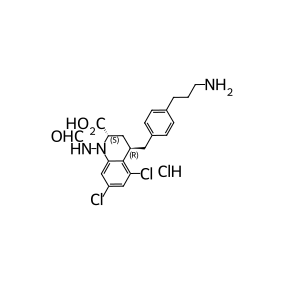 Cl.NCCCc1ccc(C[C@@H]2C[C@@H](C(=O)O)N(NC=O)c3cc(Cl)cc(Cl)c32)cc1